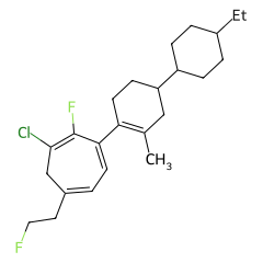 CCC1CCC(C2CCC(C3=CC=C(CCF)CC(Cl)=C3F)=C(C)C2)CC1